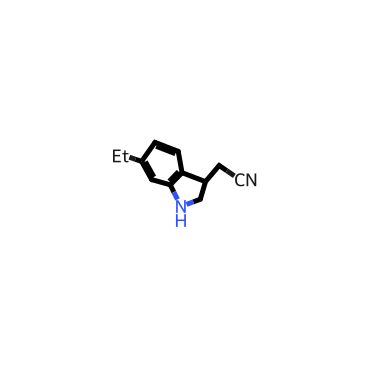 CCc1ccc2c(c1)NCC2CC#N